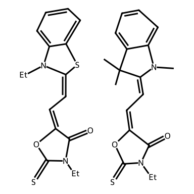 CCN1C(=O)C(=CC=C2N(C)c3ccccc3C2(C)C)OC1=S.CCN1C(=O)C(=CC=C2Sc3ccccc3N2CC)OC1=S